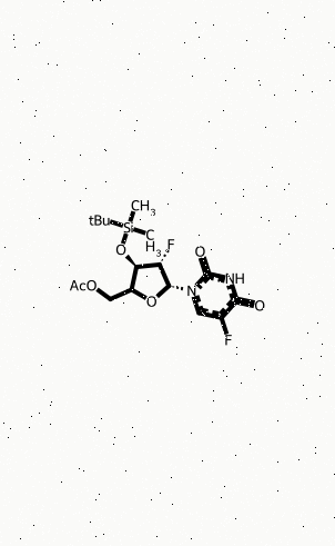 CC(=O)OC[C]1O[C@@H](n2cc(F)c(=O)[nH]c2=O)[C@@H](F)[C@@H]1O[Si](C)(C)C(C)(C)C